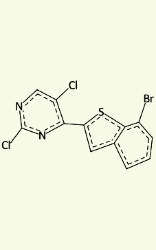 Clc1ncc(Cl)c(-c2cc3cccc(Br)c3s2)n1